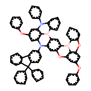 c1ccc(Oc2cc3c4c(c2)Oc2cc5c(cc2B4c2ccccc2O3)B2c3ccccc3N(c3ccccc3)c3cc(Oc4ccccc4)cc(c32)N5c2ccc3c(c2)-c2ccccc2C3(c2ccccc2)c2ccccc2)cc1